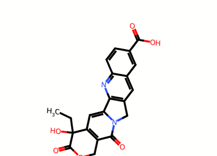 CCC1(O)C(=O)OCc2c1cc1n(c2=O)Cc2cc3cc(C(=O)O)ccc3nc2-1